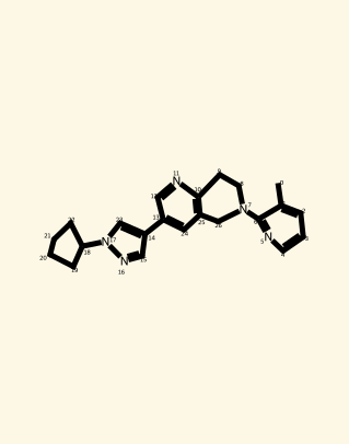 Cc1cccnc1N1CCc2ncc(-c3cnn(C4CCCC4)c3)cc2C1